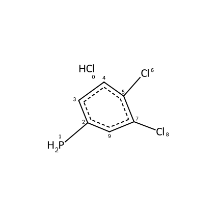 Cl.Pc1ccc(Cl)c(Cl)c1